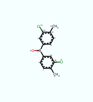 Cc1ccc(B([O])c2ccc(C)c(Cl)c2)cc1Cl